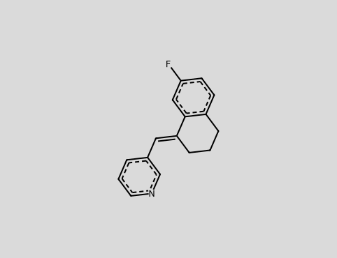 Fc1ccc2c(c1)C(=Cc1cccnc1)CCC2